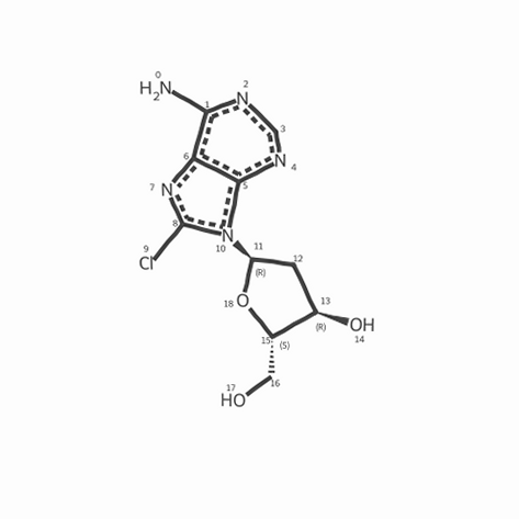 Nc1ncnc2c1nc(Cl)n2[C@H]1C[C@@H](O)[C@H](CO)O1